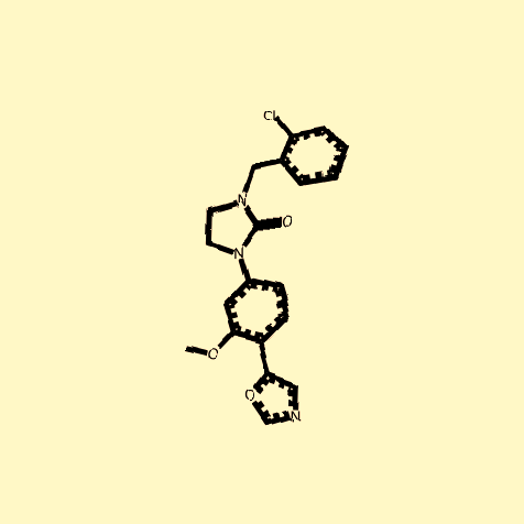 COc1cc(N2CCN(Cc3ccccc3Cl)C2=O)ccc1-c1cnco1